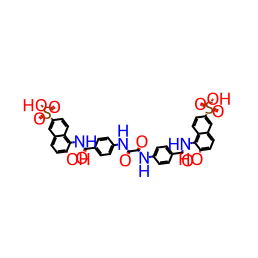 O=C(Nc1ccc(C(=O)Nc2c(O)ccc3cc(S(=O)(=O)O)ccc23)cc1)C(=O)Nc1ccc(C(=O)Nc2c(O)ccc3cc(S(=O)(=O)O)ccc23)cc1